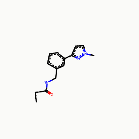 CCC(=O)NCc1cccc(-c2ccn(C)n2)c1